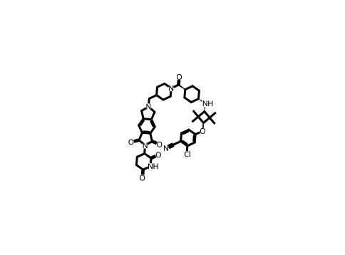 CC1(C)[C@H](N[C@H]2CC[C@H](C(=O)N3CCC(CN4Cc5cc6c(cc5C4)C(=O)N(C4CCC(=O)NC4=O)C6=O)CC3)CC2)C(C)(C)[C@H]1Oc1ccc(C#N)c(Cl)c1